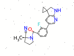 C[C@]1(C#N)CCCN1C(=O)c1cccc(-c2cnc3c(c2)C2(CC2)CN3)c1F